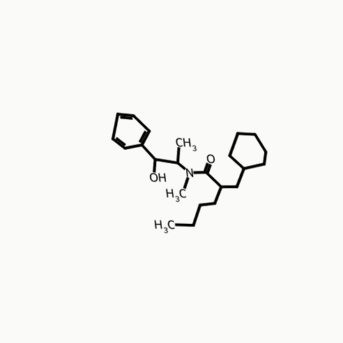 CCCCC(CC1CCCCC1)C(=O)N(C)C(C)C(O)c1ccccc1